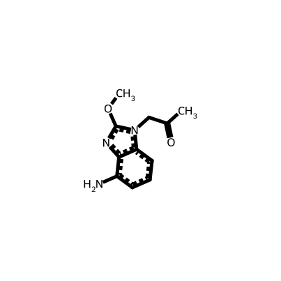 COc1nc2c(N)cccc2n1CC(C)=O